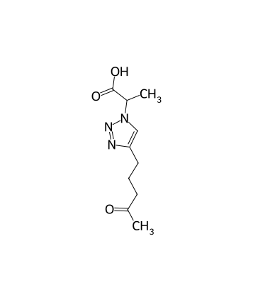 CC(=O)CCCc1cn(C(C)C(=O)O)nn1